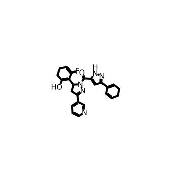 O=C(c1cc(C2=CCCC=C2)n[nH]1)N1N=C(c2cccnc2)CC1C1=C(O)CCC=C1F